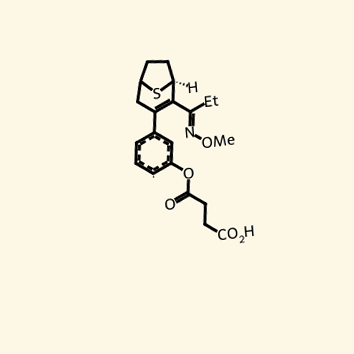 CCC(=NOC)C1=C(c2cc[c]c(OC(=O)CCC(=O)O)c2)CC2CC[C@@H]1S2